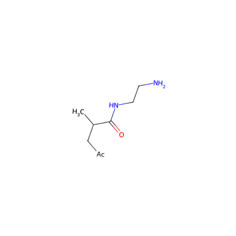 CC(=O)CC(C)C(=O)NCCN